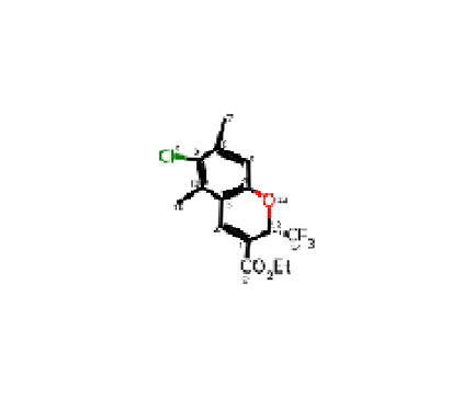 CCOC(=O)C1=Cc2c(cc(C)c(Cl)c2C)O[C@@H]1C(F)(F)F